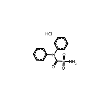 Cl.NS(=O)(=O)C(=O)N(c1ccccc1)c1ccccc1